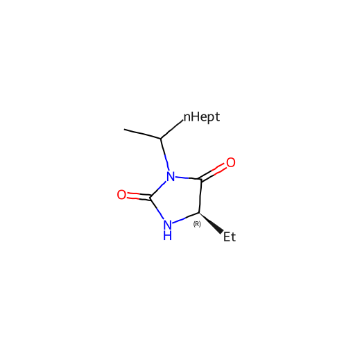 CCCCCCCC(C)N1C(=O)N[C@H](CC)C1=O